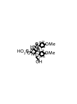 COc1ccc(S(=O)(=O)Nc2nc(OC(=O)O)nc(OCCO)c2Oc2cccc(OC)c2)cc1